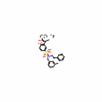 CCOC(=O)c1oc2ccc(S(=O)(=O)N(CCc3ccccc3)Cc3cccc(C)c3)cc2c1C